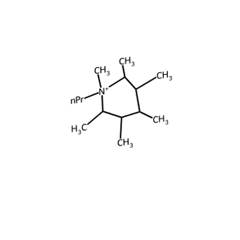 CCC[N+]1(C)C(C)C(C)C(C)C(C)C1C